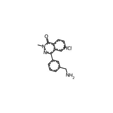 Cl.Cn1nc(-c2cccc(CN)c2)c2ccccc2c1=O